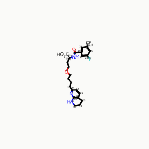 O=C(N[C@@H](CCOCCCCc1ccc2c(n1)NCCC2)C(=O)O)c1cc(F)cc(C(F)(F)F)c1